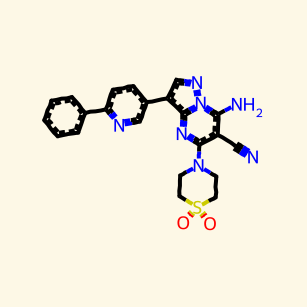 N#Cc1c(N2CCS(=O)(=O)CC2)nc2c(-c3ccc(-c4ccccc4)nc3)cnn2c1N